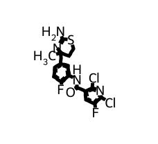 CC1(c2ccc(F)c(NC(=O)c3cc(F)c(Cl)nc3Cl)c2)CCSC(N)=N1